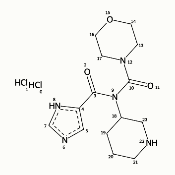 Cl.Cl.O=C(c1cnc[nH]1)N(C(=O)N1CCOCC1)C1CCCNC1